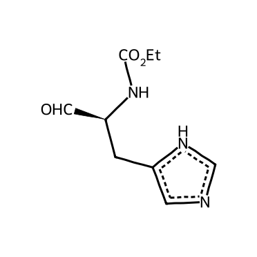 CCOC(=O)N[C@H](C=O)Cc1cnc[nH]1